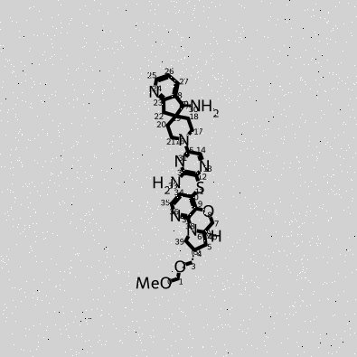 COCOC[C@H]1C[C@@H]2COc3c(Sc4ncc(N5CCC6(CC5)Cc5ncccc5[C@H]6N)nc4N)ccnc3N2C1